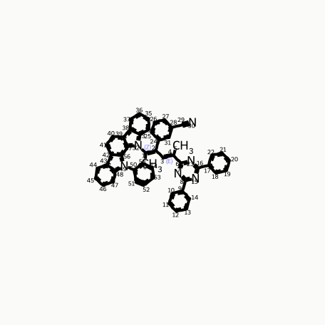 C/C(=C(\C=C(/C)c1nc(-c2ccccc2)nc(-c2ccccc2)n1)c1cccc(C#N)c1)n1c2ccccc2c2ccc3c4ccccc4n(-c4c#cccc4)c3c21